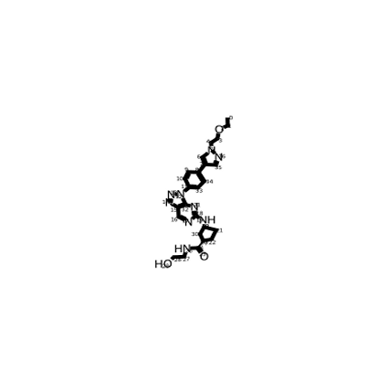 CCOCCn1cc(-c2ccc(-n3nnc4cnc(N[C@@H]5CC[C@@H](C(=O)NCCO)C5)nc43)cc2)cn1